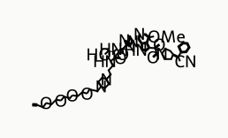 C#CCOCCOCCOCCOCCN1CCN(CCCNC(=O)[C@@H](CO)NC(=O)c2ncn(-c3ncc(OC)c4c(C(=O)C(=O)N5CCC(=C(C#N)c6ccccc6)CC5)c[nH]c34)n2)CC1